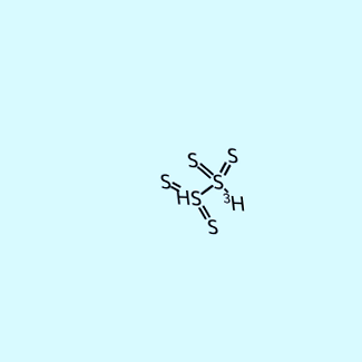 [3H]S(=S)(=S)[SH](=S)=S